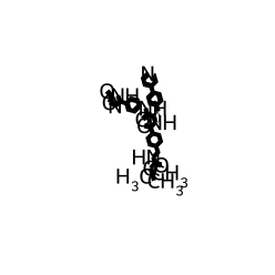 CC(C)(C)OC(=O)NCC1CCC(C(=O)N[C@@H](Cc2ccc(-c3ccncc3)cc2)C(=O)Nc2ccc(-c3noc(=O)[nH]3)cc2)CC1